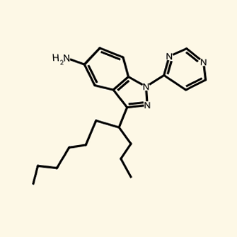 CCCCCCC(CCC)c1nn(-c2ccncn2)c2ccc(N)cc12